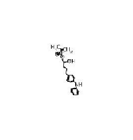 C=C(C)[NH+]([O-])OCC(O)CCCc1ccc(Nc2ccccc2)cc1